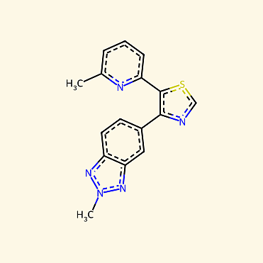 Cc1cccc(-c2scnc2-c2ccc3nn(C)nc3c2)n1